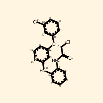 O=C(CCl)Nc1ccccc1Nc1cc(Oc2cccc(Cl)c2)ccn1